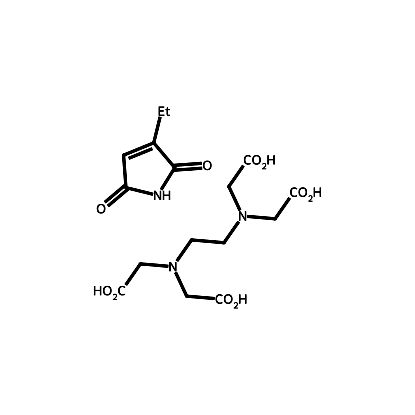 CCC1=CC(=O)NC1=O.O=C(O)CN(CCN(CC(=O)O)CC(=O)O)CC(=O)O